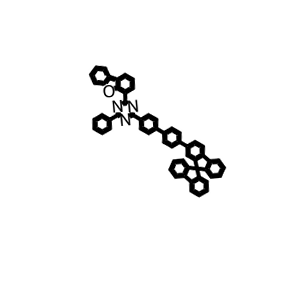 c1ccc(-c2nc(-c3ccc(-c4ccc(-c5ccc6c(c5)C5(c7ccccc7-c7ccccc75)c5ccccc5-6)cc4)cc3)nc(-c3cccc4c3oc3ccccc34)n2)cc1